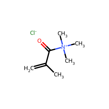 C=C(C)C(=O)[N+](C)(C)C.[Cl-]